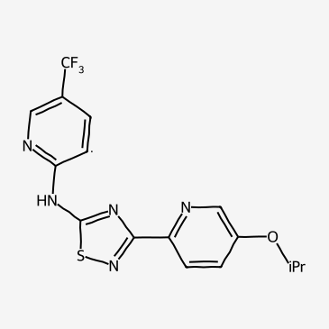 CC(C)Oc1ccc(-c2nsc(Nc3[c]cc(C(F)(F)F)cn3)n2)nc1